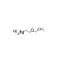 C[CH]OCCN